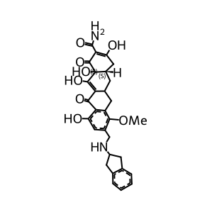 COc1c(CNC2Cc3ccccc3C2)cc(O)c2c1CC1C[C@H]3CC(O)=C(C(N)=O)C(=O)[C@@]3(O)C(O)=C1C2=O